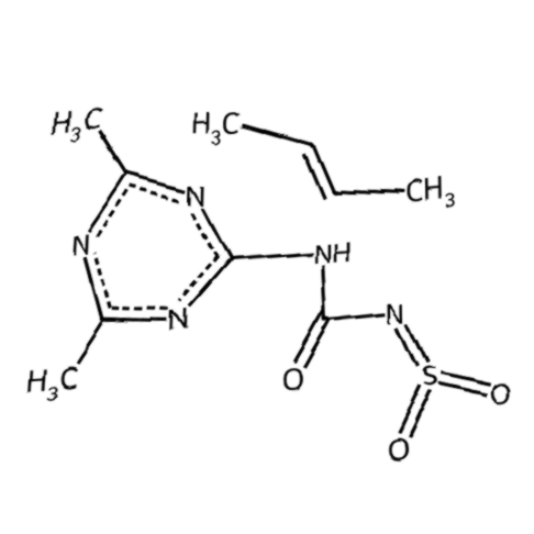 CC=CC.Cc1nc(C)nc(NC(=O)N=S(=O)=O)n1